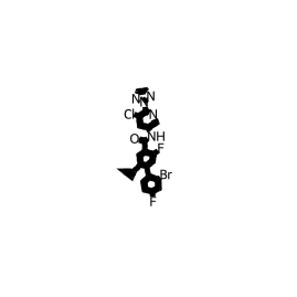 O=C(Nc1cnc(-n2nccn2)c(Cl)c1)c1cc(C2CC2)c(-c2ccc(F)cc2Br)cc1F